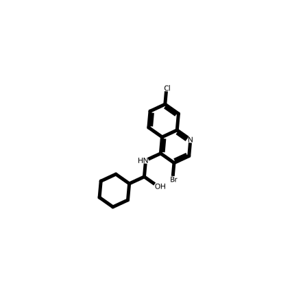 OC(Nc1c(Br)cnc2cc(Cl)ccc12)C1CCCCC1